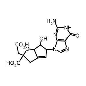 Nc1nc2c(ncn2C2C=C3CC(CC(=O)O)(C(=O)O)OC3C2O)c(=O)[nH]1